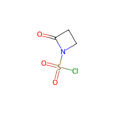 O=C1CCN1S(=O)(=O)Cl